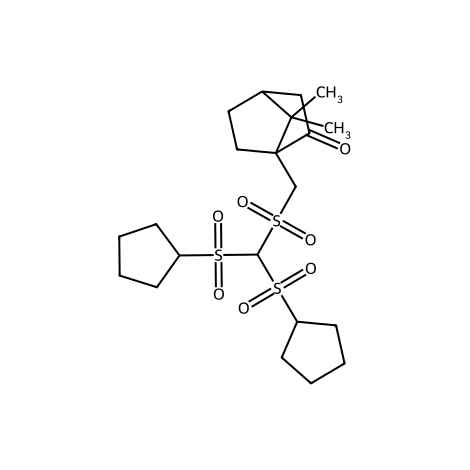 CC1(C)C2CCC1(CS(=O)(=O)C(S(=O)(=O)C1CCCC1)S(=O)(=O)C1CCCC1)C(=O)C2